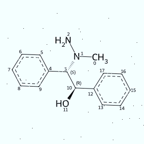 CN(N)[C@@H](c1ccccc1)[C@H](O)c1ccccc1